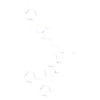 Cc1ccc(S(=O)(=O)NC(=N)NCCC[C@H](NC(=O)c2ccc(C(c3ccccc3)c3ccccc3)[nH]c2=O)C(=O)O)cc1